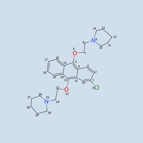 Clc1ccc2c(OCCN3CCCCC3)c3ccccc3c(OCCN3CCCCC3)c2c1